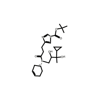 CC(C)(C)OC(=O)n1cnc(CCC(=O)N(CC(O)C(C)(O)C2CC2)[C@H]2CC=CCC2)c1